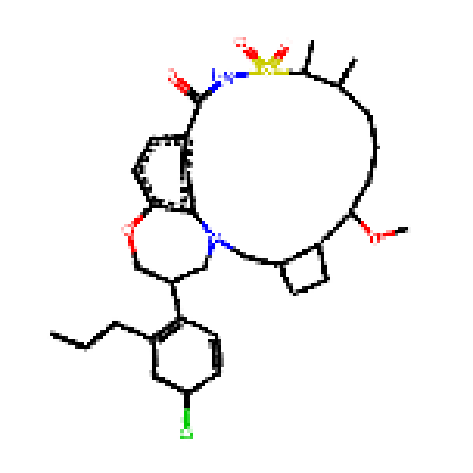 CCCC1=C(C2COc3ccc4cc3N(C2)CC2CCC2C(OC)CCCC(C)C(C)S(=O)(=O)NC4=O)C=CC(Cl)C1